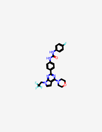 O=C(Nc1ccc(F)cc1)Nc1ccc(-c2nc(N3CCOCC3)c3ccn(CC(F)(F)F)c3n2)cc1